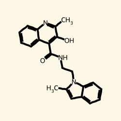 Cc1nc2ccccc2c(C(=O)NCCn2c(C)cc3ccccc32)c1O